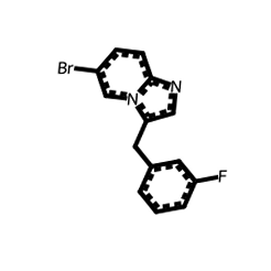 Fc1cccc(Cc2cnc3ccc(Br)cn23)c1